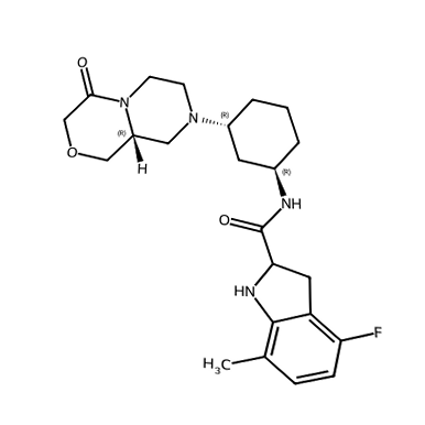 Cc1ccc(F)c2c1NC(C(=O)N[C@@H]1CCC[C@@H](N3CCN4C(=O)COC[C@H]4C3)C1)C2